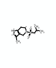 Cc1n[nH]c2c1CN(S(=O)(=O)CC(C)C)CC2